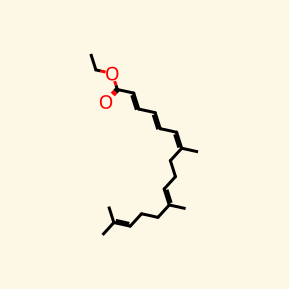 CCOC(=O)/C=C/C=C/C=C(/C)CC/C=C(\C)CCC=C(C)C